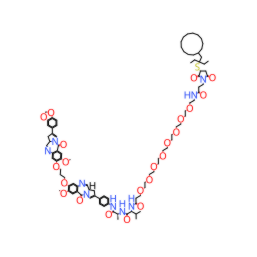 CCC(CC)(CC1CCCCCCCCCCCC1)SC1CC(=O)N(CCC(=O)NCCOCCOCCOCCOCCOCCOCCOCCOCCC(=O)N[C@H](C(=O)N[C@@H](C)C(=O)Nc2ccc(C3=CN4C(=O)c5cc(OC)c(OCCCOc6cc7c(cc6OC)C(=O)N6C=C(c8ccc9c(c8)OCO9)CC6C=N7)cc5N=C[C@@H]4C3)cc2)C(C)C)C1=O